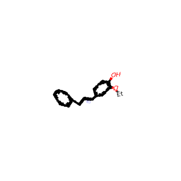 CCOc1cc(/C=C/Cc2ccccc2)ccc1O